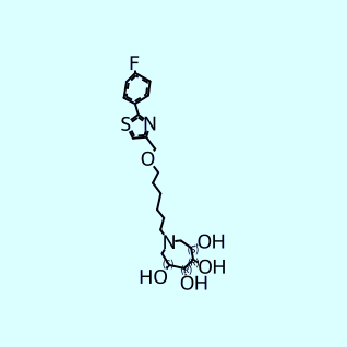 O[C@H]1[C@H](O)[C@@H](O)CN(CCCCCCOCc2csc(-c3ccc(F)cc3)n2)C[C@@H]1O